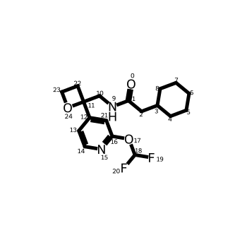 O=C(CC1CCCCC1)NCC1(c2ccnc(OC(F)F)c2)CCO1